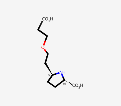 O=C(O)CCOCC[C@@H]1CC[C@@H](C(=O)O)N1